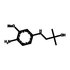 COc1cc(NCC(C)(C)O)ccc1N